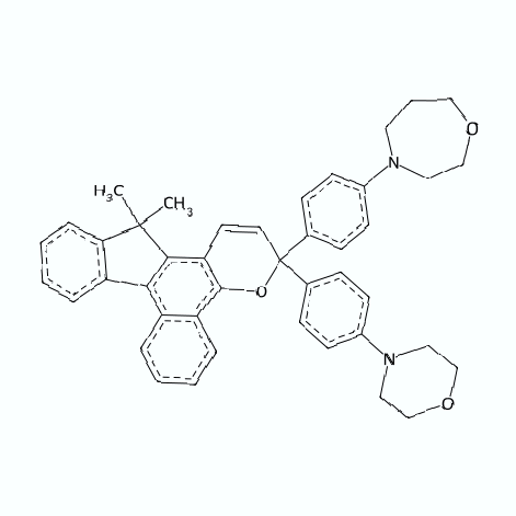 CC1(C)c2ccccc2-c2c1c1c(c3ccccc23)OC(c2ccc(N3CCCOCC3)cc2)(c2ccc(N3CCOCC3)cc2)C=C1